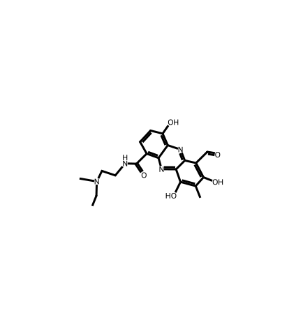 CCN(C)CCNC(=O)c1ccc(O)c2nc3c(C=O)c(O)c(C)c(O)c3nc12